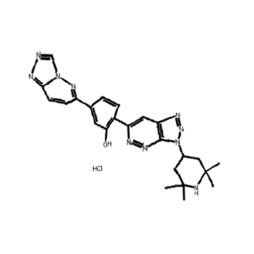 CC1(C)CC(n2nnc3cc(-c4ccc(-c5ccc6nncn6n5)cc4O)nnc32)CC(C)(C)N1.Cl